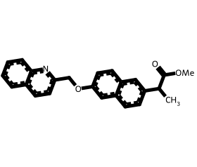 COC(=O)C(C)c1ccc2cc(OCc3ccc4ccccc4n3)ccc2c1